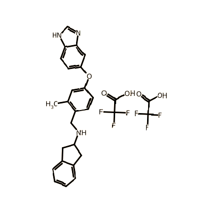 Cc1cc(Oc2ccc3[nH]cnc3c2)ccc1CNC1Cc2ccccc2C1.O=C(O)C(F)(F)F.O=C(O)C(F)(F)F